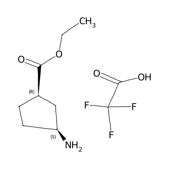 CCOC(=O)[C@@H]1CC[C@H](N)C1.O=C(O)C(F)(F)F